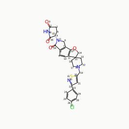 O=C1CC[C@H](N2Cc3c(ccc4c3OCC43CCN(Cc4cc(-c5ccc(Cl)cc5)ns4)CC3)C2=O)C(=O)N1